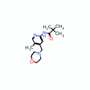 Cc1cnc(NC(=O)C(C)(C)C)cc1CN1CCOCC1